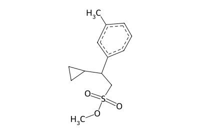 COS(=O)(=O)CC(c1cccc(C)c1)C1CC1